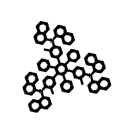 Cc1cc(-c2c(-c3ccccc3)c(-c3ccc(N(c4cccc5ccccc45)c4cccc5ccccc45)c(C)c3)c(-c3ccccc3)c(-c3ccc(N(c4cccc5ccccc45)c4cccc5ccccc45)c(C)c3)c2-c2ccccc2)ccc1N(c1cccc2ccccc12)c1cccc2ccccc12